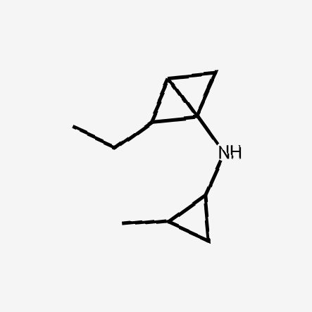 CCC1C2CC12NC1CC1C